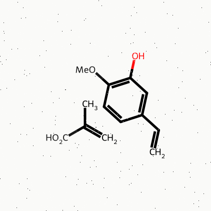 C=C(C)C(=O)O.C=Cc1ccc(OC)c(O)c1